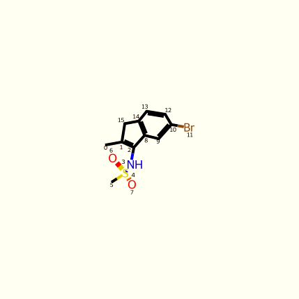 CC1=C(NS(C)(=O)=O)c2cc(Br)ccc2C1